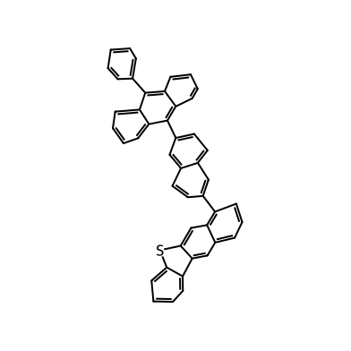 c1ccc(-c2c3ccccc3c(-c3ccc4cc(-c5cccc6cc7c(cc56)sc5ccccc57)ccc4c3)c3ccccc23)cc1